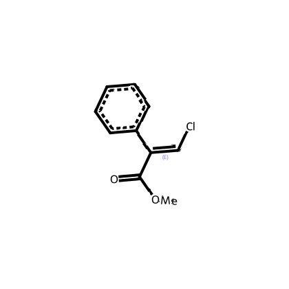 COC(=O)/C(=C/Cl)c1ccccc1